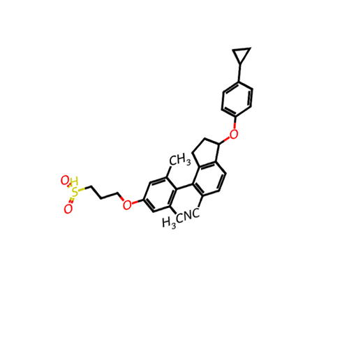 Cc1cc(OCCC[SH](=O)=O)cc(C)c1-c1c(C#N)ccc2c1CCC2Oc1ccc(C2CC2)cc1